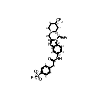 CCS(=O)(=O)c1ccc(CC(=O)Nc2ccc3c(c2)nc(CN2CCC(C(F)(F)F)CC2)n3CC(C)C)cc1